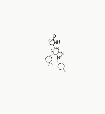 CC1(C)CCCN(c2nc(-c3noc(=O)[nH]3)nc3ncn(C[C@H]4CC[C@H](C)CC4)c23)C1